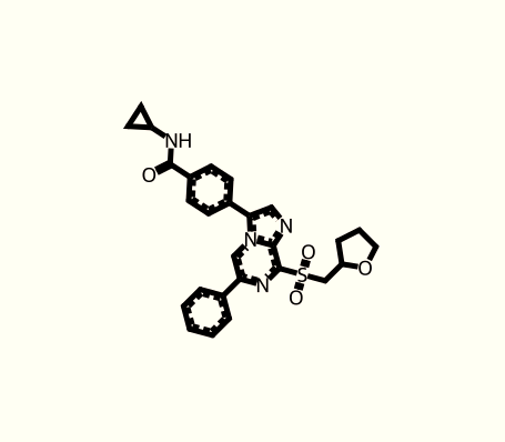 O=C(NC1CC1)c1ccc(-c2cnc3c(S(=O)(=O)CC4CCCO4)nc(-c4ccccc4)cn23)cc1